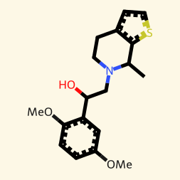 COc1ccc(OC)c(C(O)CN2CCc3ccsc3C2C)c1